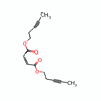 CC#CCCOC(=O)/C=C\C(=O)OCCC#CC